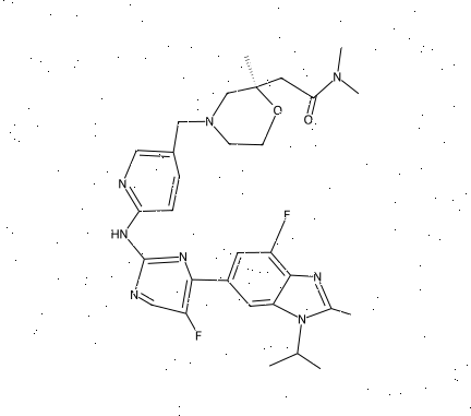 Cc1nc2c(F)cc(-c3nc(Nc4ccc(CN5CCO[C@](C)(CC(=O)N(C)C)C5)cn4)ncc3F)cc2n1C(C)C